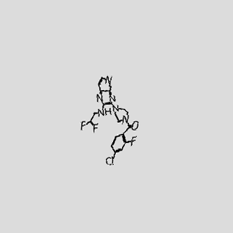 O=C(c1ccc(Cl)cc1F)N1CCN(c2nc3cnccc3nc2NCC(F)F)CC1